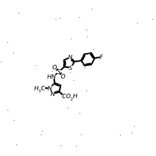 Cn1nc(C(=O)O)cc1NS(=O)(=O)c1cnc(-c2ccc(F)cc2)s1